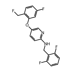 FCc1ccc(F)cc1Oc1ccc(NCc2c(F)cccc2F)nc1